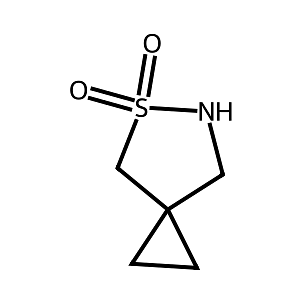 O=S1(=O)CC2(CC2)CN1